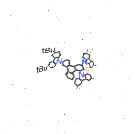 Cc1ccc2c(c1)c1cc(C)cc3c1n2-c1cc2c4ccc(-n5c6ccc(C(C)(C)C)cc6c6cc(C(C)(C)C)ccc65)cc4c4ccccc4c2c2c1B3c1cc(C)cc3c4cc(C)ccc4n-2c13